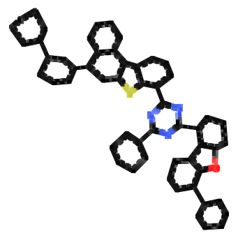 c1ccc(-c2cccc(-c3cc4sc5c(-c6nc(-c7ccccc7)nc(-c7cccc8oc9c(-c%10ccccc%10)cccc9c78)n6)cccc5c4c4ccccc34)c2)cc1